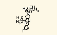 CN(C)c1nc(Cc2ccc(F)cc2)nc2c1CCN(C(=O)OC(C)(C)C)CC2